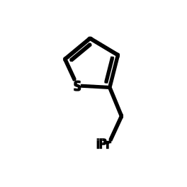 [CH2]C(C)Cc1cccs1